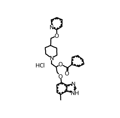 Cc1ccc(OCC(CN2CCC(COc3ccccn3)CC2)OC(=O)c2ccccc2)c2nc[nH]c12.Cl